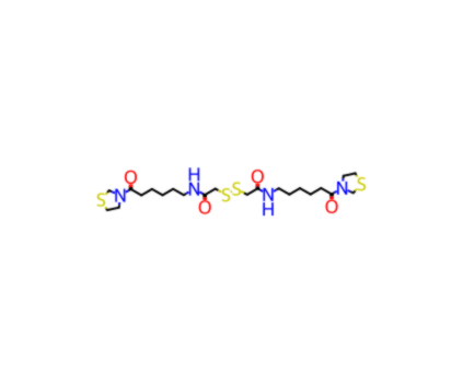 O=C(CSSCC(=O)NCCCCCC(=O)N1CCSC1)NCCCCCC(=O)N1CCSC1